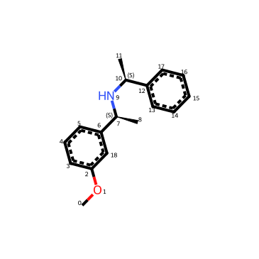 COc1cccc([C@H](C)N[C@@H](C)c2ccccc2)c1